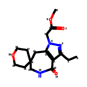 CCc1nn(CC(=O)OC)c2c1C(=O)NCC1(CCOCC1)C2